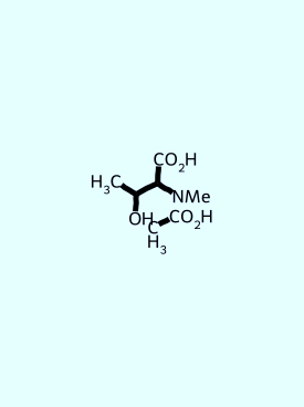 CC(=O)O.CNC(C(=O)O)C(C)O